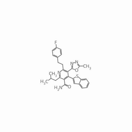 Cc1nnc(-c2c(CCc3ccc(F)cc3)nc(CC(C)C)c(C(N)=O)c2-c2cc3ccccc3s2)o1